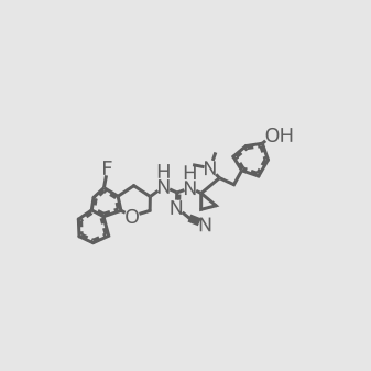 CN(C)C(Cc1ccc(O)cc1)C1(NC(=NC#N)NC2COc3c(c(F)cc4ccccc34)C2)CC1